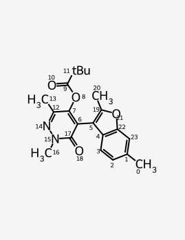 Cc1ccc2c(-c3c(OC(=O)C(C)(C)C)c(C)nn(C)c3=O)c(C)oc2c1